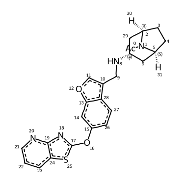 CC(=O)N1[C@@H]2CC[C@H]1C[C@H](NCc1coc3cc(Oc4nc5ncccc5s4)ccc13)C2